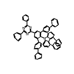 c1ccc(-c2ccc(-c3cc(-c4nc(-c5ccccc5)nc(-c5ccccc5)n4)cc(-c4ccc(-c5ccccc5)cc4)c3-n3c4cccc(-c5ccccc5)c4c4c(-c5ccccc5)cccc43)cc2)cc1